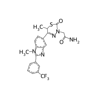 CC1SC(=O)N(CC(N)=O)N=C1c1ccc2c(c1)nc(-c1cccc(C(F)(F)F)c1)n2C